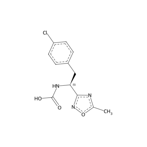 Cc1nc([C@H](Cc2ccc(Cl)cc2)NC(=O)O)no1